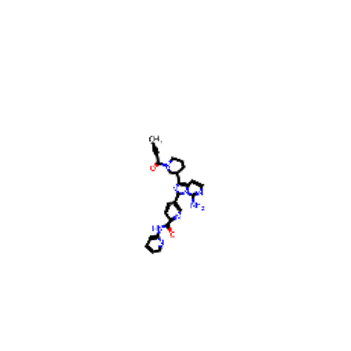 CC#CC(=O)N1CCCC(c2nc(-c3ccc(C(=O)Nc4ccccn4)nc3)n3c(N)nccc23)C1